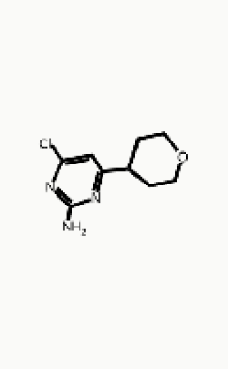 Nc1nc(Cl)cc(C2CCOCC2)n1